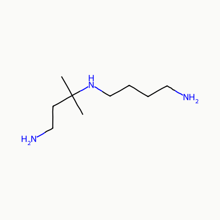 CC(C)(CCN)NCCCCN